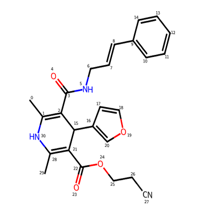 CC1=C(C(=O)NCC=Cc2ccccc2)C(c2ccoc2)C(C(=O)OCCC#N)=C(C)N1